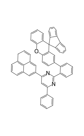 C1=Cc2cc(-c3cc(-c4ccccc4)nc(-c4ccccc4-c4ccc5c(c4)C4(c6ccccc6O5)c5ccccc5-c5ccccc54)n3)cc3cccc(c23)C1